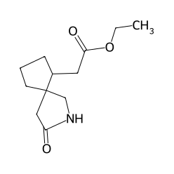 CCOC(=O)CC1CCCC12CNC(=O)C2